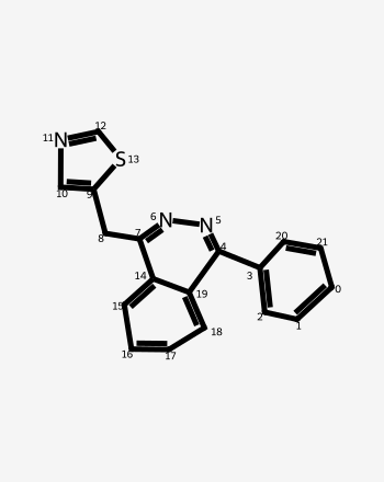 c1ccc(-c2nnc(Cc3cncs3)c3ccccc23)cc1